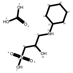 O=C(O)O.O=S(=O)(O)CC(O)CNC1CCCCC1